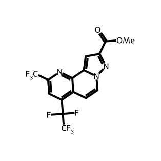 COC(=O)c1cc2c3nc(C(F)(F)F)cc(C(F)(F)C(F)(F)F)c3ccn2n1